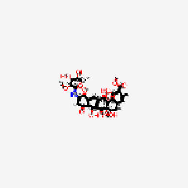 COC(=O)c1c(C)cc2c(c1O)[C@]1(O)C(=O)c3cc4c(c(O)c3C(=O)[C@]1(OC)[C@H](O)C2)C(=O)C=C(NC1O[C@@H](C)[C@H](O)[C@@H](O)[C@H]1OC)C4=O